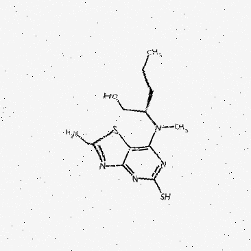 CCC[C@H](CO)N(C)c1nc(S)nc2nc(N)sc12